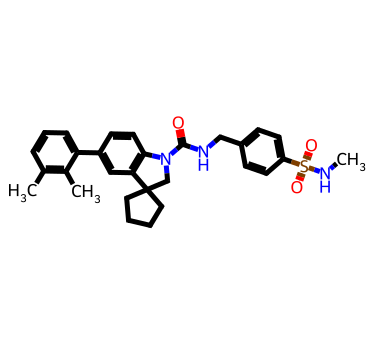 CNS(=O)(=O)c1ccc(CNC(=O)N2CC3(CCCC3)c3cc(-c4cccc(C)c4C)ccc32)cc1